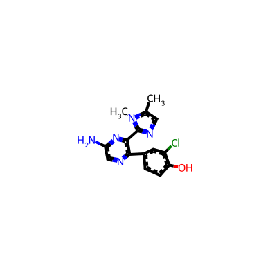 Cc1cnc(-c2nc(N)cnc2-c2ccc(O)c(Cl)c2)n1C